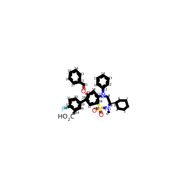 CN1[C@H](C2CCCCC2)CN(c2ccccc2)c2cc(OCc3ccccc3)c(-c3ccc(F)c(C(=O)O)c3)cc2S1(=O)=O